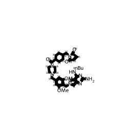 CCCCNc1nc(N)nc2cn(Cc3c(OC)cc(CN4CCN(C(=O)C5CCC(CN6C(=O)C=CC6=O)CC5)CC4)cc3OC)nc12